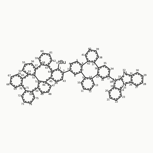 CC(C)(C)c1c(-c2ccc3c(c2)-c2ccccc2-c2cc(-n4c5ccccc5n5c6ccccc6nc45)ccc2-c2ccccc2-3)ccc2c3cccc4c3-c3c(cccc3c3ccccc3c12)c1ccccc1c1ccccc41